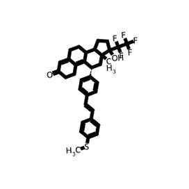 CSc1ccc(/C=C/c2ccc([C@H]3CC4(C)C(CCC4(O)C(F)(F)C(F)(F)F)C4CCC5=CC(=O)CCC5=C43)cc2)cc1